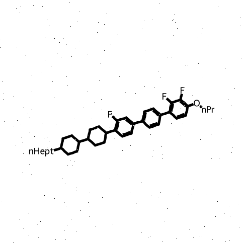 CCCCCCCC1CCC(C2CCC(c3ccc(-c4ccc(-c5ccc(OCCC)c(F)c5F)cc4)cc3F)CC2)CC1